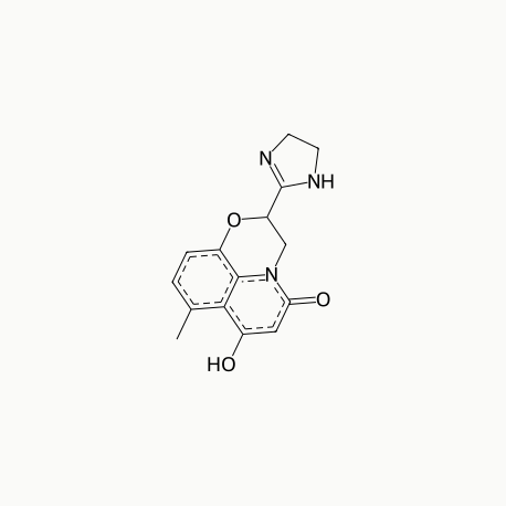 Cc1ccc2c3c1c(O)cc(=O)n3CC(C1=NCCN1)O2